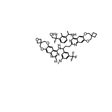 Cc1nc(NC(CCc2nc(NC(C)c3cccc(C(F)(F)CO)c3C)c3cc4c(cc3n2)OCC2(CCC2)CO4)c2cc(N)cc(C(F)(F)F)c2)c2cc3c(cc2n1)OCC1(COC1)CO3